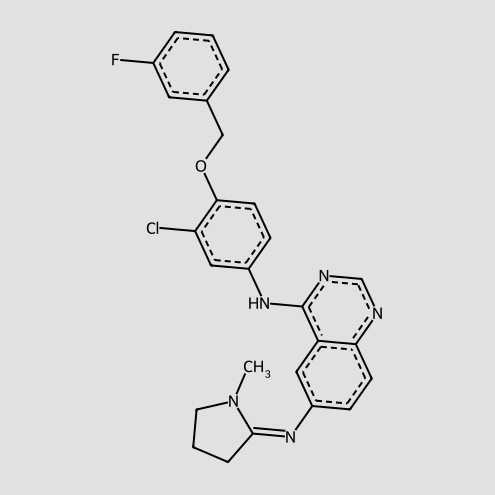 CN1CCCC1=Nc1ccc2ncnc(Nc3ccc(OCc4cccc(F)c4)c(Cl)c3)c2c1